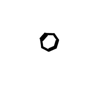 C1=CCC#CCC=1